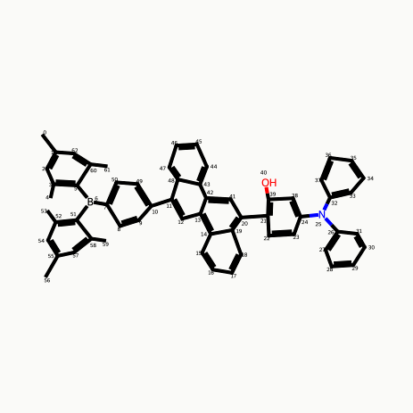 Cc1cc(C)c(B(c2ccc(-c3cc4c5ccccc5c(-c5ccc(N(c6ccccc6)c6ccccc6)cc5O)cc4c4ccccc34)cc2)c2c(C)cc(C)cc2C)c(C)c1